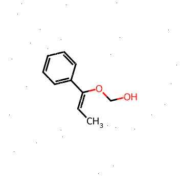 CC=C(OCO)c1ccccc1